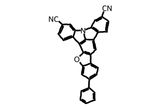 N#Cc1ccc2c3cc4c5ccc(-c6ccccc6)cc5oc4c4c5ccc(C#N)cc5n(c2c1)c34